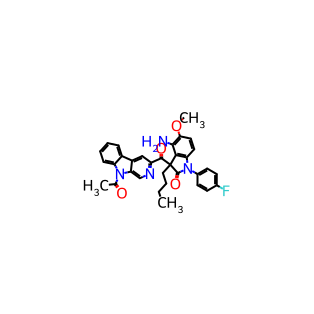 CCCCC1(C(=O)c2cc3c4ccccc4n(C(C)=O)c3cn2)C(=O)N(c2ccc(F)cc2)c2ccc(OC)c(N)c21